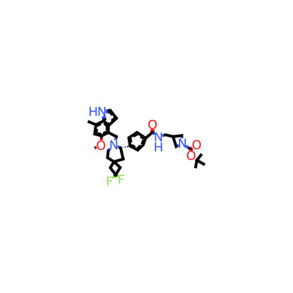 COc1cc(C)c2[nH]ccc2c1CN1CCC2(C[C@H]1c1ccc(C(=O)NCC3CN(C(=O)OC(C)(C)C)C3)cc1)CC(F)(F)C2